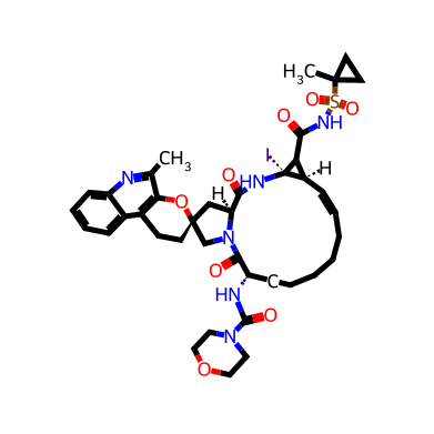 Cc1nc2ccccc2c2c1O[C@]1(CC2)C[C@H]2C(=O)N[C@@]3(I)C(C(=O)NS(=O)(=O)C4(C)CC4)[C@H]3/C=C\CCCCC[C@H](NC(=O)N3CCOCC3)C(=O)N2C1